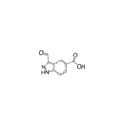 O=Cc1n[nH]c2ccc(C(=O)O)cc12